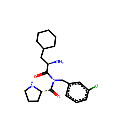 N[C@H](CC1CCCCC1)C(=O)N(Cc1cccc(Cl)c1)C(=O)[C@@H]1CCCN1